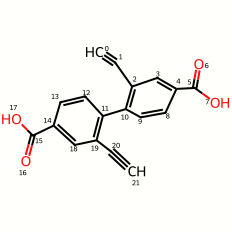 C#Cc1cc(C(=O)O)ccc1-c1ccc(C(=O)O)cc1C#C